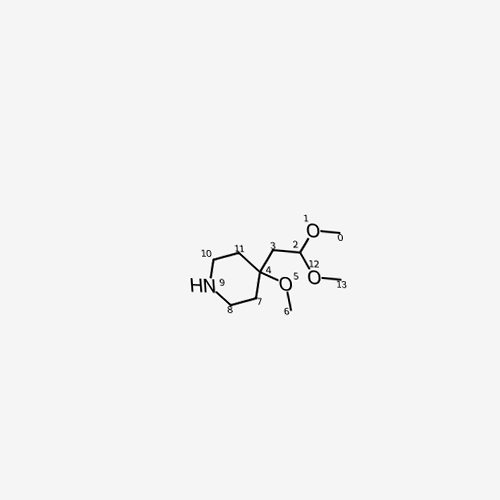 COC(CC1(OC)CCNCC1)OC